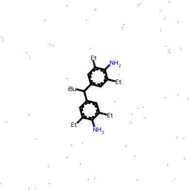 CCc1cc(C(c2cc(CC)c(N)c(CC)c2)C(C)CC)cc(CC)c1N